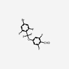 O=Cc1c(F)cc(OC(F)(F)c2c(F)cc(Br)cc2F)cc1F